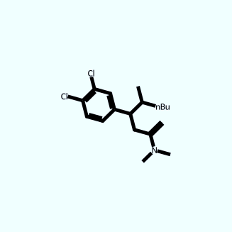 C=C(CC(c1ccc(Cl)c(Cl)c1)C(C)CCCC)N(C)C